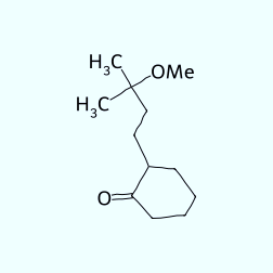 COC(C)(C)CCC1CCCCC1=O